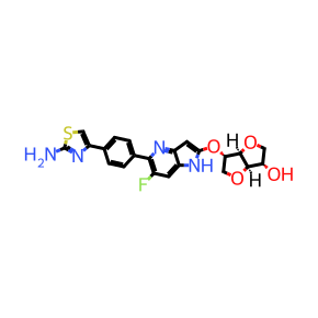 Nc1nc(-c2ccc(-c3nc4cc(O[C@@H]5CO[C@H]6[C@@H]5OC[C@H]6O)[nH]c4cc3F)cc2)cs1